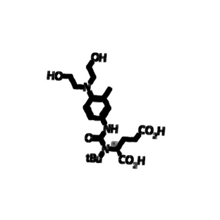 Cc1cc(NC(=O)N([C@@H](CCC(=O)O)C(=O)O)C(C)(C)C)ccc1N(CCO)CCO